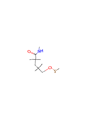 CNC(=O)C(C)(C)CC(C)(C)COSC